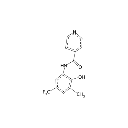 Cc1cc(C(F)(F)F)cc(NC(=O)c2ccncc2)c1O